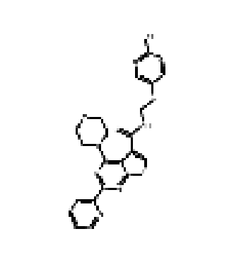 O=C(NCCc1ccc(O)nc1)c1csc2nc(-c3ccccn3)nc(N3CCOCC3)c12